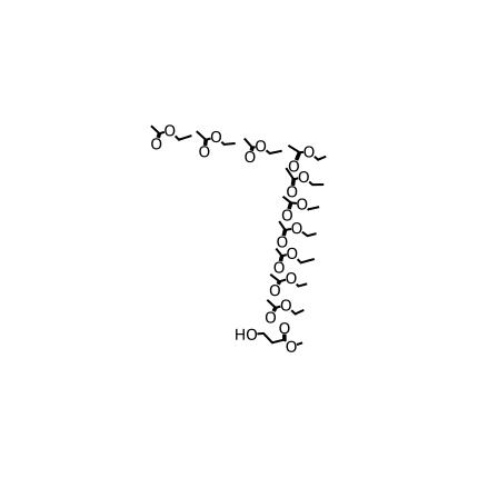 CCOC(C)=O.CCOC(C)=O.CCOC(C)=O.CCOC(C)=O.CCOC(C)=O.CCOC(C)=O.CCOC(C)=O.CCOC(C)=O.CCOC(C)=O.CCOC(C)=O.COC(=O)CCO